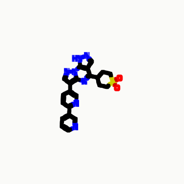 O=S1(=O)CCC(c2nc3c(-c4ccc(-c5cccnc5)nc4)cnn3c3[nH]ncc23)CC1